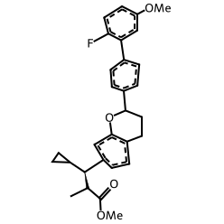 COC(=O)C(C)[C@H](c1ccc2c(c1)OC(c1ccc(-c3cc(OC)ccc3F)cc1)CC2)C1CC1